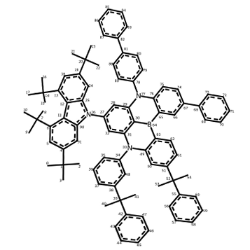 CC(C)(C)c1cc(C(C)(C)C)c2c3c(C(C)(C)C)cc(C(C)(C)C)cc3n(-c3cc4c5c(c3)N(c3cccc(C(C)(C)c6ccccc6)c3)c3cc(C(C)(C)c6ccccc6)ccc3B5c3cc(-c5ccccc5)ccc3N4c3ccc(-c4ccccc4)cc3)c2c1